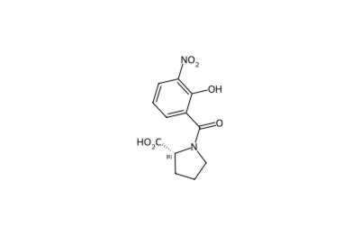 O=C(O)[C@H]1CCCN1C(=O)c1cccc([N+](=O)[O-])c1O